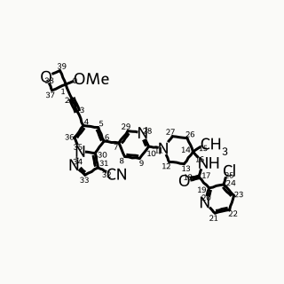 COC1(C#Cc2cc(-c3ccc(N4CCC(C)(NC(=O)c5ncccc5Cl)CC4)nc3)c3c(C#N)cnn3c2)COC1